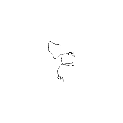 CCC(=O)C1(C)CCCC1